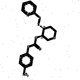 O=C(Oc1ccc([N+](=O)[O-])cc1)O[C@@H]1COCC[C@H]1SSc1ccccn1